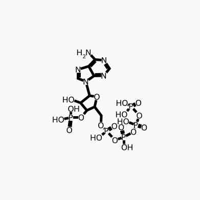 Nc1ncnc2c1ncn2C1OC(COP(=O)(O)OP(=O)(O)OP(=O)(O)OP(=O)(O)O)C(OP(=O)(O)O)C1O